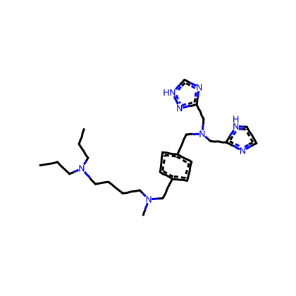 CCCN(CCC)CCCCN(C)Cc1ccc(CN(Cc2nc[nH]n2)Cc2ncc[nH]2)cc1